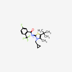 Cc1c(C(C)(C)C)s/c(=N\C(=O)c2cc(F)ccc2C(F)(F)F)n1CC1CC1